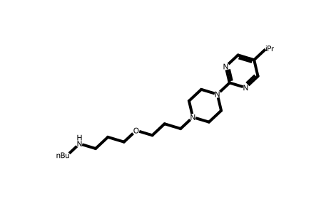 CCCCNCCCOCCCN1CCN(c2ncc(C(C)C)cn2)CC1